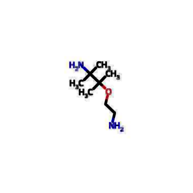 CC(C)(N)C(C)(C)OCCN